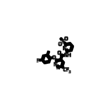 Cc1cc(F)ccc1Oc1nnc(C(F)(F)F)cc1C(=O)Nc1cccc(S(C)(=O)=O)n1